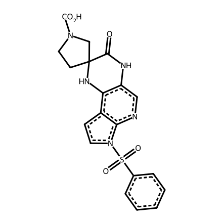 O=C(O)N1CCC2(C1)Nc1c(cnc3c1ccn3S(=O)(=O)c1ccccc1)NC2=O